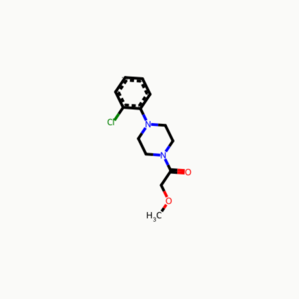 COCC(=O)N1CCN(c2cc[c]cc2Cl)CC1